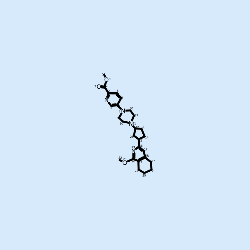 COC(=O)c1ccc(N2CCN(C3CCC(c4cc5c(c(OC)n4)CCCC5)C3)CC2)cn1